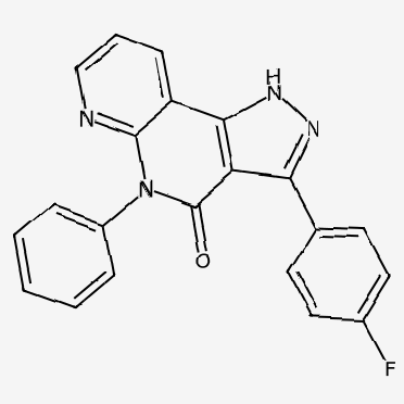 O=c1c2c(-c3ccc(F)cc3)n[nH]c2c2cccnc2n1-c1ccccc1